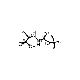 CC(NNC(=O)OC(C)(C)C)C(=O)O